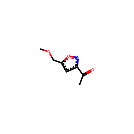 COCc1cc(C(C)=O)no1